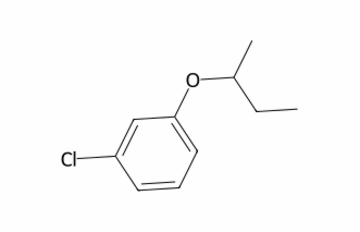 CCC(C)Oc1cccc(Cl)c1